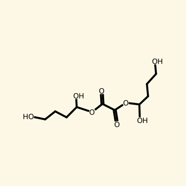 O=C(OC(O)CCCO)C(=O)OC(O)CCCO